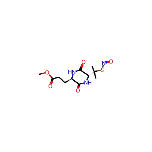 COC(=O)CC[C@H]1NC(=O)[C@H](C(C)(C)SN=O)NC1=O